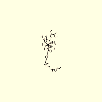 CCCOC(C)(C)CCOC(C)(C)CCOCCC(=O)N[SiH2][SiH2][SiH2][C@@H](CCC(CC)C(C)CC)C(N)=O